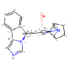 O=C(O)N1CC2CCC(C1)C21C[C@H]([C@@H]2c3ccccc3-c3cncn32)[C@@H]1O